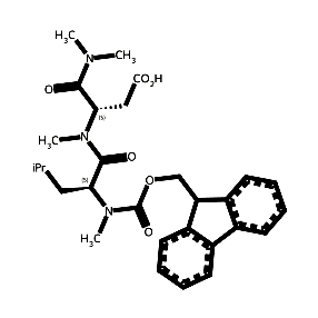 CC(C)C[C@@H](C(=O)N(C)[C@@H](CC(=O)O)C(=O)N(C)C)N(C)C(=O)OCC1c2ccccc2-c2ccccc21